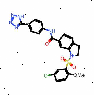 COc1ccc(Cl)cc1S(=O)(=O)N1CCc2ccc(C(=O)Nc3ccc(-c4nnn[nH]4)cc3)cc21